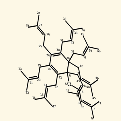 CC(C)=CCOC1(CC=C(C)C)C(CC=C(C)C)=C(CC=C(C)C)C(CC=C(C)C)=C(CC=C(C)C)C1(CC=C(C)C)CC=C(C)C